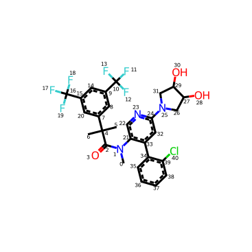 CN(C(=O)C(C)(C)c1cc(C(F)(F)F)cc(C(F)(F)F)c1)c1cnc(N2CC(O)C(O)C2)cc1-c1ccccc1Cl